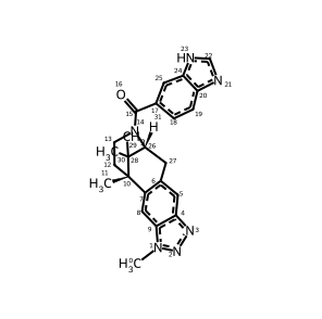 Cn1nnc2cc3c(cc21)[C@]1(C)CCN(C(=O)c2ccc4nc[nH]c4c2)[C@H](C3)C1(C)C